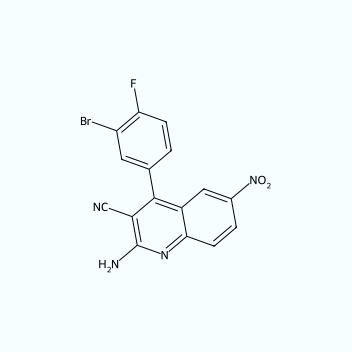 N#Cc1c(N)nc2ccc([N+](=O)[O-])cc2c1-c1ccc(F)c(Br)c1